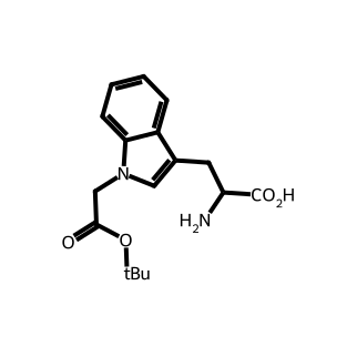 CC(C)(C)OC(=O)Cn1cc(CC(N)C(=O)O)c2ccccc21